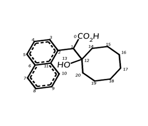 O=C(O)C(c1cccc2ccccc12)C1(O)CCCCCCC1